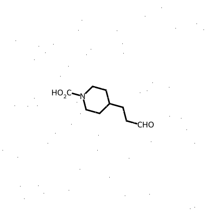 O=CCCC1CCN(C(=O)O)CC1